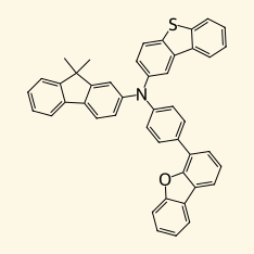 CC1(C)c2ccccc2-c2ccc(N(c3ccc(-c4cccc5c4oc4ccccc45)cc3)c3ccc4sc5ccccc5c4c3)cc21